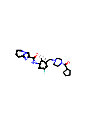 Cc1c(CN2CCN(C(=O)C3CCCC3)CC2)cc(F)cc1NC(=O)c1cn2ccccc2n1